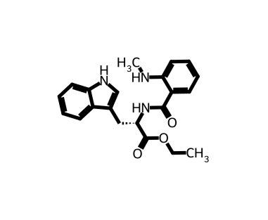 CCOC(=O)[C@H](Cc1c[nH]c2ccccc12)NC(=O)c1ccccc1NC